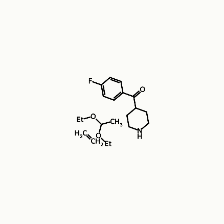 C=C.CCOC(C)OCC.O=C(c1ccc(F)cc1)C1CCNCC1